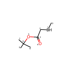 CBCC(=O)OC(C)(C)C